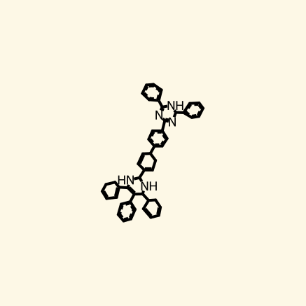 C1=CCCC(C2=C(c3ccccc3)C(C3C=CC=CC3)NC(C3=CCC(c4ccc(C5=NC(c6ccccc6)NC(c6ccccc6)=N5)cc4)C=C3)N2)=C1